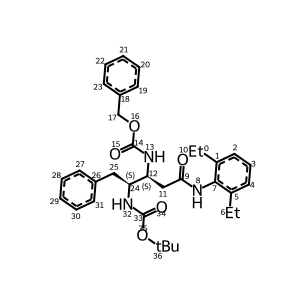 CCc1cccc(CC)c1NC(=O)C[C@H](NC(=O)OCc1ccccc1)[C@H](Cc1ccccc1)NC(=O)OC(C)(C)C